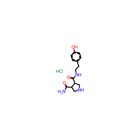 Cl.NC(=O)C1CNCC1C(=O)NCCc1ccc(O)cc1